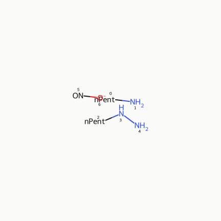 CCCCCN.CCCCCNN.O=[NH+][O-]